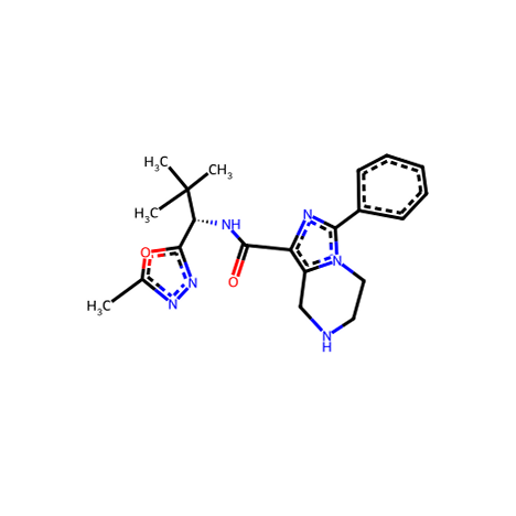 Cc1nnc([C@@H](NC(=O)c2nc(-c3ccccc3)n3c2CNCC3)C(C)(C)C)o1